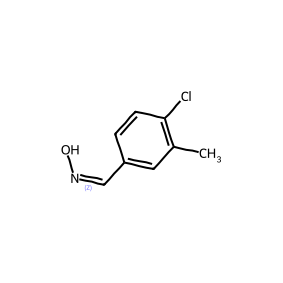 Cc1cc(/C=N\O)ccc1Cl